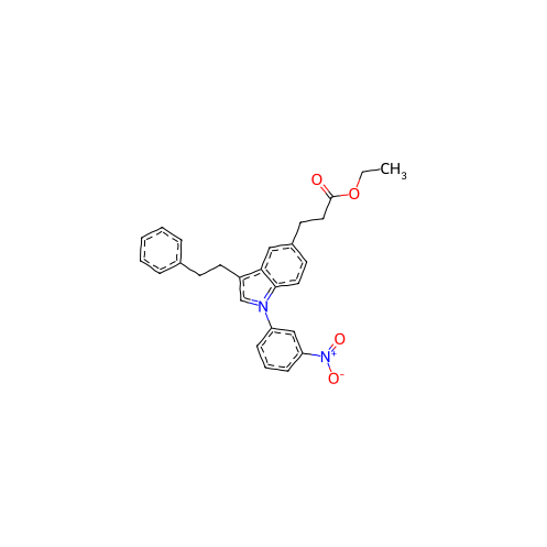 CCOC(=O)CCc1ccc2c(c1)c(CCc1ccccc1)cn2-c1cccc([N+](=O)[O-])c1